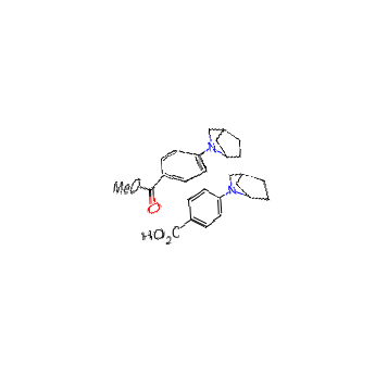 COC(=O)c1ccc(N2CC3CCC2C3)cc1.O=C(O)c1ccc(N2CC3CCC2C3)cc1